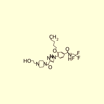 C=CCCCOc1cc(C(=O)NCC(F)(F)F)ccc1-n1cc(C(=O)N2CCN(CCO)CC2)nn1